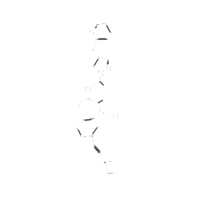 CN1C(=O)[C@@H](NC(=O)n2cc(Cc3cccc(F)n3)cn2)COc2ccc(C#CC(O)(F)C(F)F)cc21